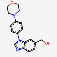 OCc1ccc2ncn(-c3ccc(N4CCOCC4)cc3)c2c1